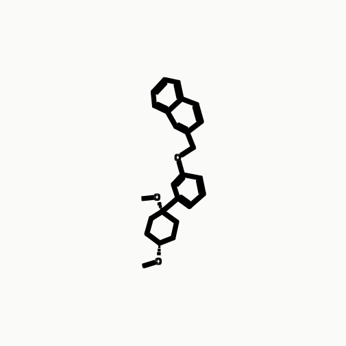 CO[C@H]1CC[C@](OC)(c2cccc(OCc3ccc4ccccc4c3)c2)CC1